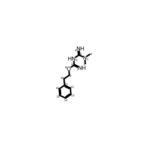 CN(C)C(=N)NC(=N)OCCc1ccccc1